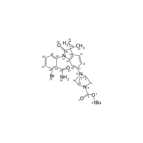 CC(C)(C)OC(=O)N1CC2CC1CN2c1ccc2c(c1)N(c1cccc(Br)c1C(N)=O)C(=O)C2(C)C